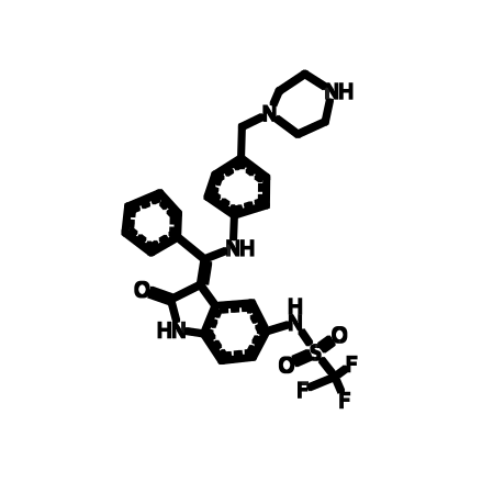 O=C1Nc2ccc(NS(=O)(=O)C(F)(F)F)cc2C1=C(Nc1ccc(CN2CCNCC2)cc1)c1ccccc1